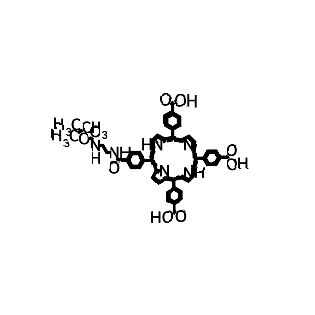 CC(C)(C)OC(=O)NCCNC(=O)c1ccc(-c2c3nc(c(-c4ccc(C(=O)O)cc4)c4ccc([nH]4)c(-c4ccc(C(=O)O)cc4)c4nc(c(-c5ccc(C(=O)O)cc5)c5ccc2[nH]5)C=C4)C=C3)cc1